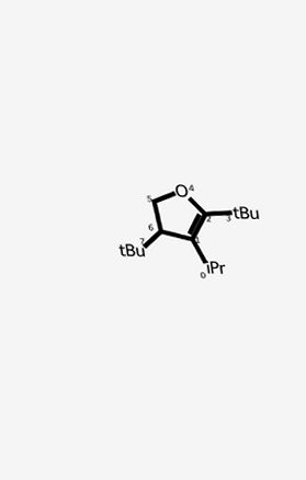 CC(C)C1=C(C(C)(C)C)OCC1C(C)(C)C